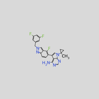 CC1(n2cc(-c3ccc4nn(Cc5cc(F)cc(F)c5)cc4c3F)c3c(N)ncnc32)CC1